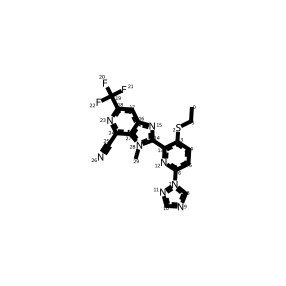 CCSc1ccc(-n2cncn2)nc1-c1nc2cc(C(F)(F)F)nc(C#N)c2n1C